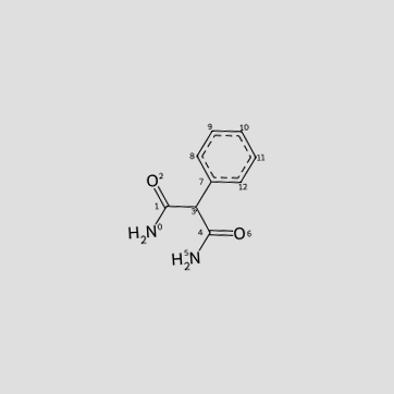 NC(=O)[C](C(N)=O)c1ccccc1